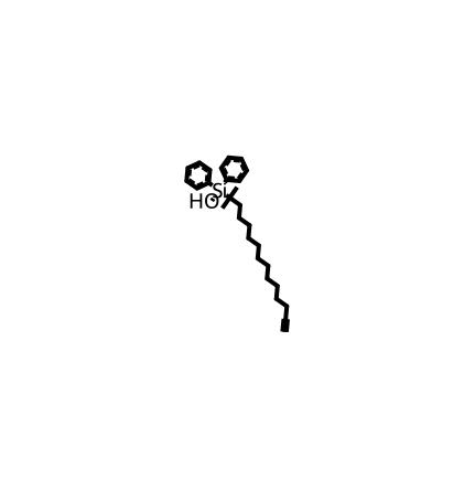 C#CCCCCCCCCCCCC(C)(C)[Si](O)(c1ccccc1)c1ccccc1